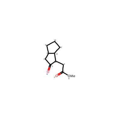 COC(=O)CC1C(=O)CC2CCCC21